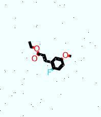 CCOC(=O)/C=C/c1cc(OC)ccc1F